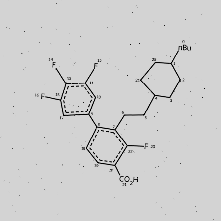 CCCCC1CCC(CCc2c(-c3cc(F)c(F)c(F)c3)ccc(C(=O)O)c2F)CC1